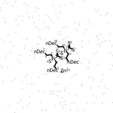 CCCCCCCCCCCC[N+]([S-])(CCCCCCCCCCCC)C(=S)[S-].CCCCCCCCCCCC[N+]([S-])(CCCCCCCCCCCC)C(=S)[S-].[Zn+2]